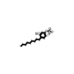 CCCCCCCCCc1ccc(OP(=O)([O-])[O-])cc1.[Ni+2]